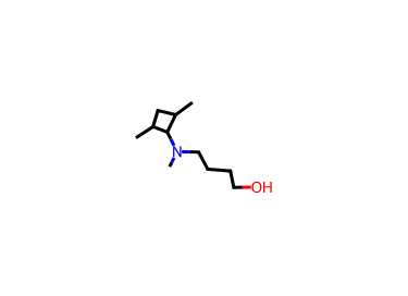 CC1CC(C)C1N(C)CCCCO